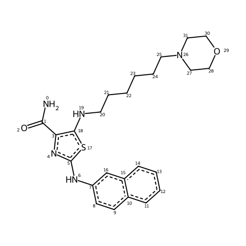 NC(=O)c1nc(Nc2ccc3ccccc3c2)sc1NCCCCCCN1CCOCC1